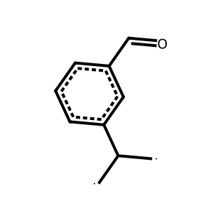 [CH2]C([CH2])c1cccc(C=O)c1